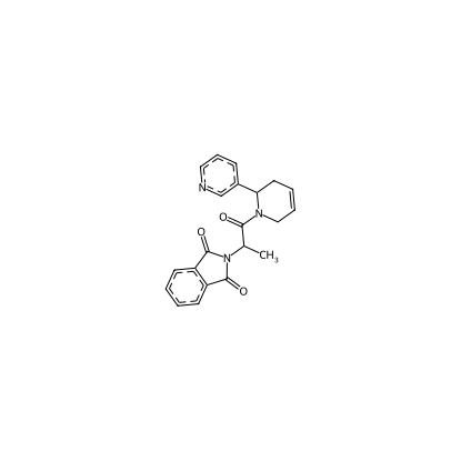 CC(C(=O)N1CC=CCC1c1cccnc1)N1C(=O)c2ccccc2C1=O